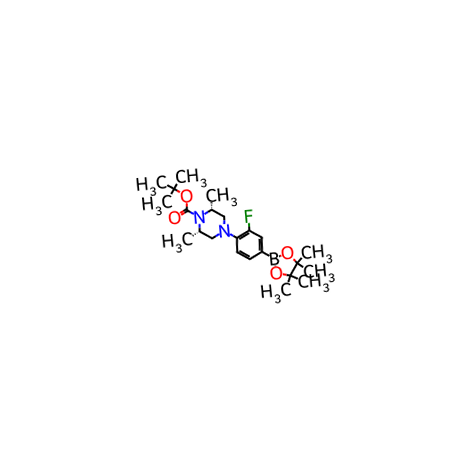 C[C@@H]1CN(c2ccc(B3OC(C)(C)C(C)(C)O3)cc2F)C[C@H](C)N1C(=O)OC(C)(C)C